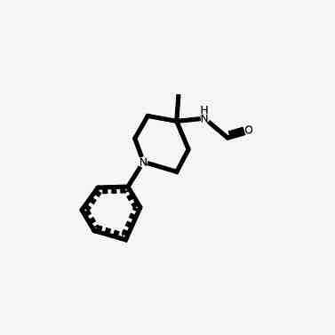 CC1(NC=O)CCN(c2ccccc2)CC1